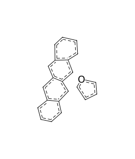 c1ccc2cc3cc4ccccc4cc3cc2c1.c1ccoc1